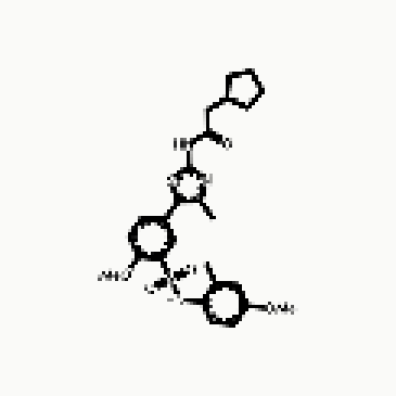 COc1ccc(NS(=O)(=O)c2cc(-c3sc(NC(=O)CC4CCCC4)nc3C)ccc2OC)c(C)c1